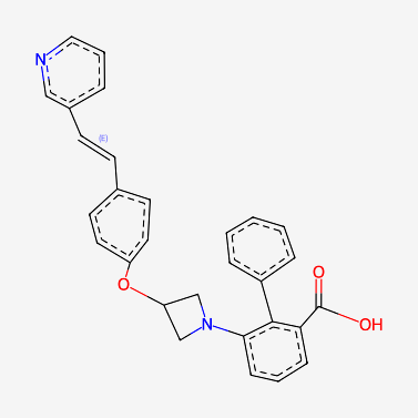 O=C(O)c1cccc(N2CC(Oc3ccc(/C=C/c4cccnc4)cc3)C2)c1-c1ccccc1